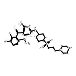 COc1ccc(F)c(F)c1C(=O)c1cnc(NC2CCC(S(=O)(=O)CCCN3CCOCC3)CC2)nc1N